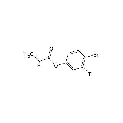 CNC(=O)Oc1ccc(Br)c(F)c1